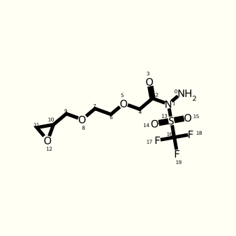 NN(C(=O)COCCOCC1CO1)S(=O)(=O)C(F)(F)F